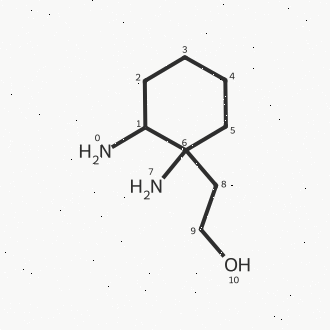 NC1CCCCC1(N)CCO